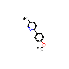 CC(C)c1ccc(-c2ccc(OC(F)(F)F)cc2)nc1